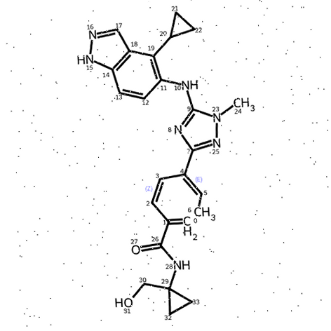 C=C(/C=C\C(=C/C)c1nc(Nc2ccc3[nH]ncc3c2C2CC2)n(C)n1)C(=O)NC1(CO)CC1